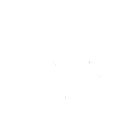 O=[N+]([O-])c1cc(Br)cc(/C=N/c2ccccc2)c1O